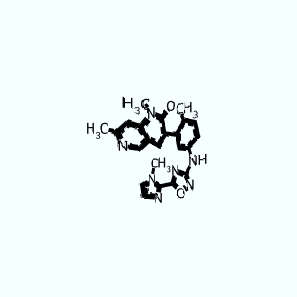 Cc1cc2c(cn1)cc(-c1cc(Nc3noc(-c4nccn4C)n3)ccc1C)c(=O)n2C